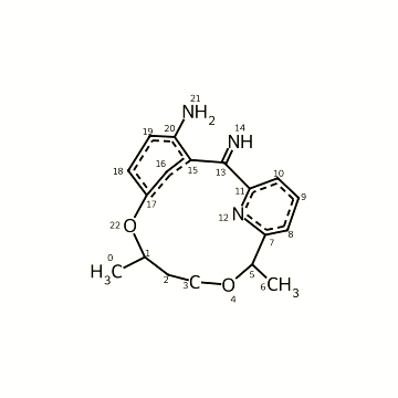 CC1CCOC(C)c2cccc(n2)C(=N)c2cc(ccc2N)O1